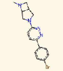 CN1CC2CN(c3ccc(-c4ccc(Br)cc4)nn3)CC21